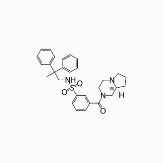 CC(CNS(=O)(=O)c1cccc(C(=O)N2CCN3CCC[C@H]3C2)c1)(c1ccccc1)c1ccccc1